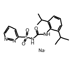 CC(C)c1cccc(C(C)C)c1NC(=O)NS(=O)(=O)c1cccnn1.[Na]